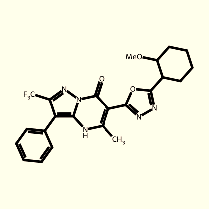 COC1CCCCC1c1nnc(-c2c(C)[nH]c3c(-c4ccccc4)c(C(F)(F)F)nn3c2=O)o1